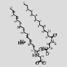 CCCCCCCCCCCCCC(=O)N(C)CCC(=O)[O-].CCCCCCCCCCCCCCCC(=O)NCC(=O)[O-].[Na+].[Na+]